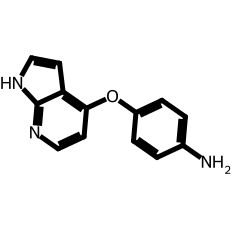 Nc1ccc(Oc2ccnc3[nH]ccc23)cc1